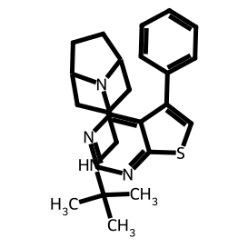 CC(C)(C)NCC1CC2CCC(C1)N2c1ncnc2scc(-c3ccccc3)c12